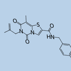 C=C(C)Cn1c(=O)c(C)c2sc(C(=O)NCc3ccc(F)cc3)cn2c1=O